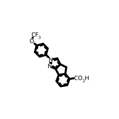 O=C(O)c1cccc2c1Cc1cn(-c3ccc(OC(F)(F)F)cc3)nc1-2